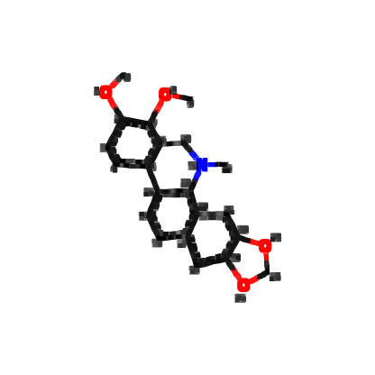 COc1ccc2c(c1OC)CN(C)c1c-2ccc2cc3c(cc12)OCO3